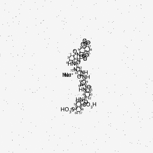 Cc1ccc(C(=O)Nc2ccc3c(S(=O)(=O)[O-])cccc3c2S(=O)(=O)[O-])cc1NC(=O)c1cc(NC(=O)Nc2cc(C(=O)Nc3cc(C(=O)Nc4ccc5c(S(=O)(=O)O)cccc5c4S(=O)(=O)O)ccc3C)n(C)c2)cn1C.[Na+].[Na+]